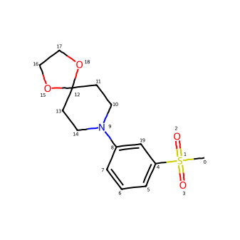 CS(=O)(=O)c1cccc(N2CCC3(CC2)OCCO3)c1